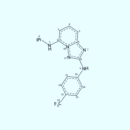 CC(C)Nc1cccc2nc(Nc3ccc(C(F)(F)F)cc3)nn12